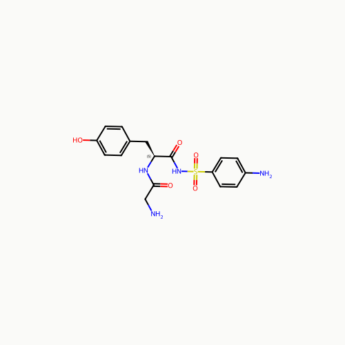 NCC(=O)N[C@@H](Cc1ccc(O)cc1)C(=O)NS(=O)(=O)c1ccc(N)cc1